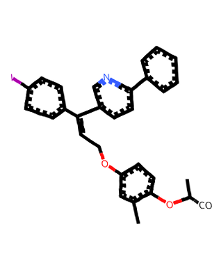 Cc1cc(OCC=C(c2ccc(I)cc2)c2ccc(-c3ccccc3)nc2)ccc1OC(C)C(=O)O